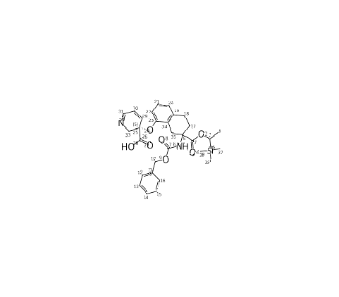 CC(OC(=O)C1(NC(=O)OCc2ccccc2)CCc2cccc(O[C@@]3(C(=O)O)C=CC=NC3)c2C1)[Si](C)(C)C